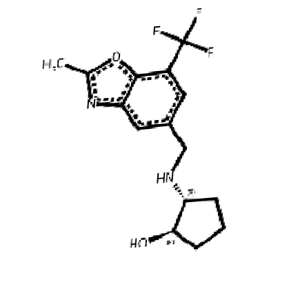 Cc1nc2cc(CN[C@@H]3CCC[C@H]3O)cc(C(F)(F)F)c2o1